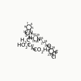 CN(C1=Nc2ccccc2CS1)C1CCN(CCCCOc2ccc(Cl)c(F)c2)CC1.O=C(O)C=CC(=O)O